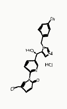 Cl.N#Cc1ccc(Cn2cncc2[C@H](O)c2ccc(-n3cc(Cl)ccc3=O)nc2)cc1